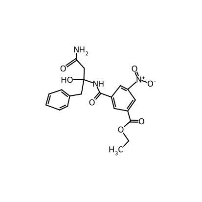 CCOC(=O)c1cc(C(=O)NC(O)(CC(N)=O)Cc2ccccc2)cc([N+](=O)[O-])c1